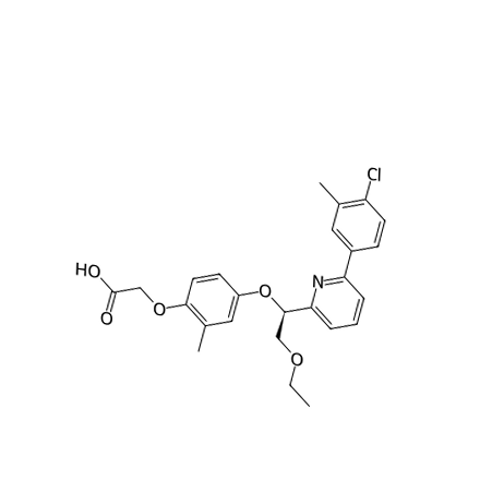 CCOC[C@@H](Oc1ccc(OCC(=O)O)c(C)c1)c1cccc(-c2ccc(Cl)c(C)c2)n1